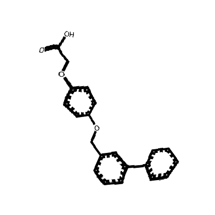 O=C(O)COc1ccc(OCc2cccc(-c3ccccc3)c2)cc1